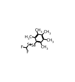 Cc1c(C)c(C)c([Se][Se]C(F)F)c(C)c1C